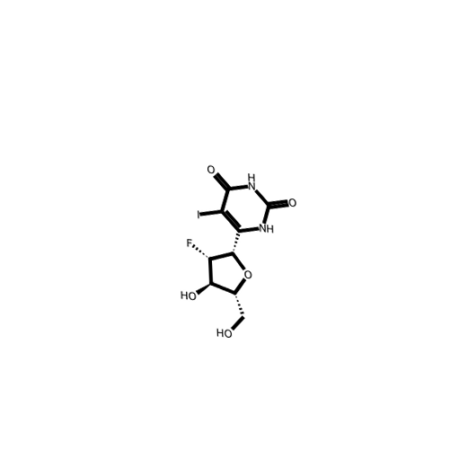 O=c1[nH]c([C@@H]2O[C@H](CO)[C@@H](O)[C@@H]2F)c(I)c(=O)[nH]1